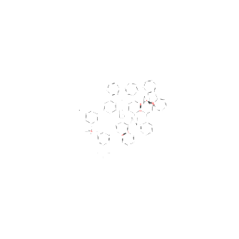 CC(C)(C)c1cc(-c2ccc3c(c2)B2c4cc(-c5cc(C(C)(C)C)cc(C(C)(C)C)c5)ccc4C(c4ccccc4)(c4ccccc4)c4cc(-n5c6ccccc6c6ccccc65)cc(c42)N3c2c(-c3ccccc3)cccc2-c2ccccc2)cc(C(C)(C)C)c1